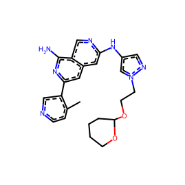 Cc1ccncc1-c1cc2cc(Nc3cnn(CCOC4CCCCO4)c3)ncc2c(N)n1